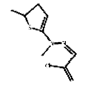 C=C(Cl)/C=N\N(C)C1=CCC(C)S1